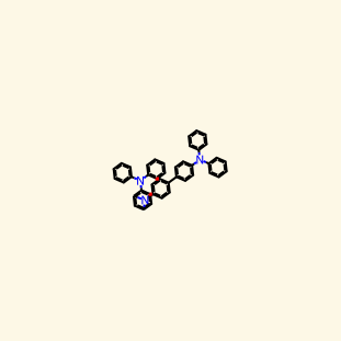 C1=C2C=C(C(N(c3ccccc3)c3ccccc3)=C1)N2c1ccc(-c2ccc(N(c3ccccc3)c3ccccc3)cc2)cc1